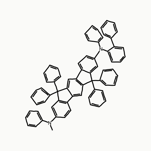 CN(c1ccccc1)c1ccc2c(c1)C(c1ccccc1)(c1ccccc1)c1cc3c(cc1-2)C(c1ccccc1)(c1ccccc1)c1cc(N(c2ccccc2)c2ccccc2-c2ccccc2)ccc1-3